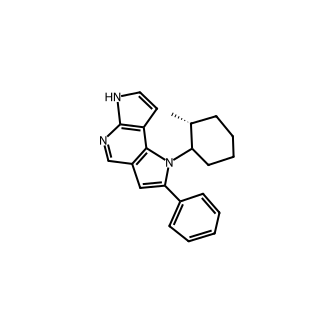 C[C@@H]1CCCCC1n1c(-c2ccccc2)cc2cnc3[nH]ccc3c21